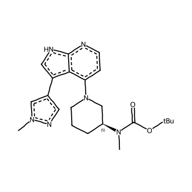 CN(C(=O)OC(C)(C)C)[C@H]1CCCN(c2ccnc3[nH]cc(-c4cnn(C)c4)c23)C1